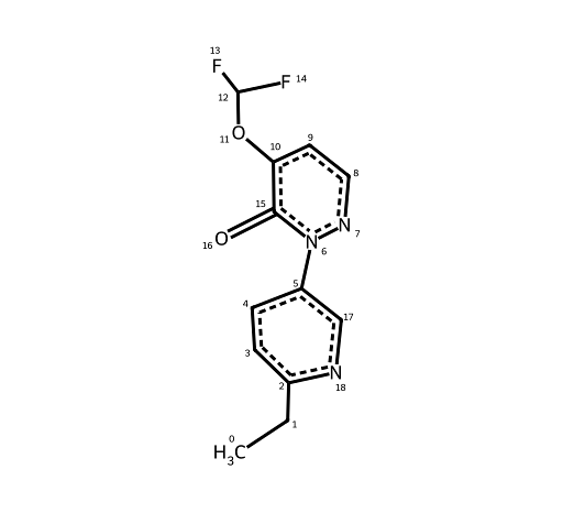 CCc1ccc(-n2nccc(OC(F)F)c2=O)cn1